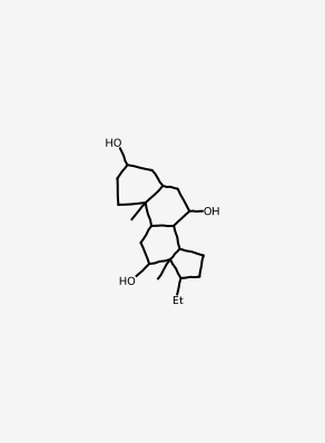 CCC1CCC2C3C(O)CC4CC(O)CCC4(C)C3CC(O)C12C